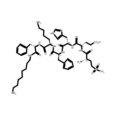 CS(=O)(=O)CC[C@H](N)C(=O)N[C@@H](CCC(=O)O)C(=O)N[C@@H](Cc1c[nH]cn1)C(=O)N[C@@H](Cc1ccccc1)C(=O)N[C@H](CCCCN)C(=O)N[C@@H](Cc1ccccc1)C(=O)NCCCCCCCCN